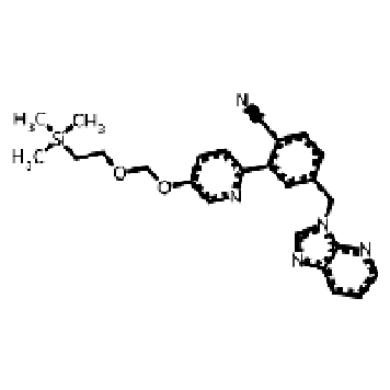 C[Si](C)(C)CCOCOc1ccc(-c2cc(Cn3cnc4cccnc43)ccc2C#N)nc1